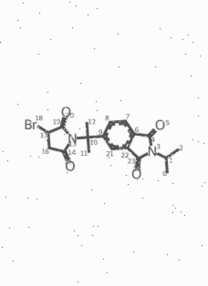 CC(C)N1C(=O)c2ccc(C(C)(C)N3C(=O)CC(Br)C3=O)cc2C1=O